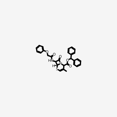 CC1=CS[C@@H]2C(NC(=O)COc3ccccc3)C(=O)N2C1C(=O)OC(c1ccccc1)c1ccccc1